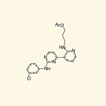 CC(=O)OCCCNc1ncccc1-c1ccnc(Nc2cccc(Cl)c2)n1